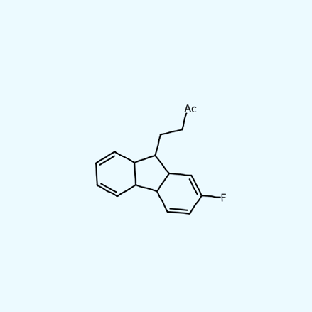 CC(=O)CCC1C2C=CC=CC2C2C=CC(F)=CC21